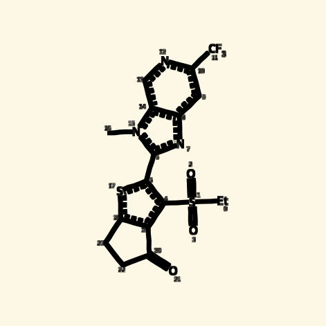 CCS(=O)(=O)c1c(-c2nc3cc(C(F)(F)F)ncc3n2C)sc2c1C(=O)CC2